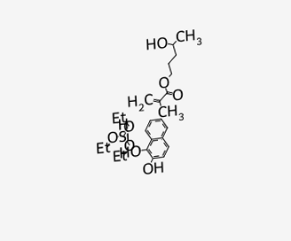 C=C(C)C(=O)OCCCC(C)O.CCO[SiH](OCC)OCC.Oc1ccc2ccccc2c1O